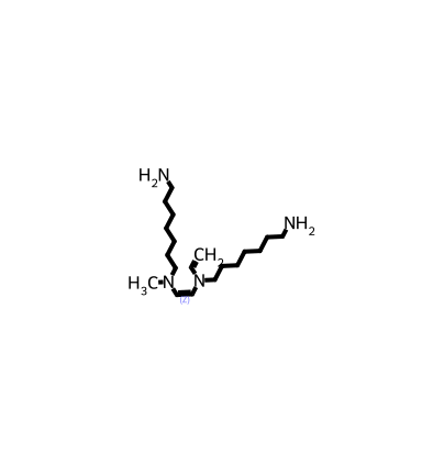 C=CN(/C=C\N(C)CCCCCCCN)CCCCCCCN